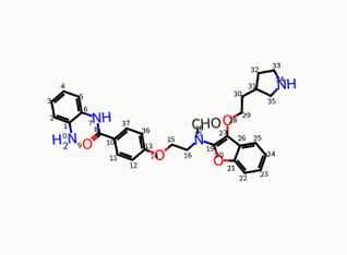 Nc1ccccc1NC(=O)c1ccc(OCCN(C=O)c2oc3ccccc3c2OCCC2CCNC2)cc1